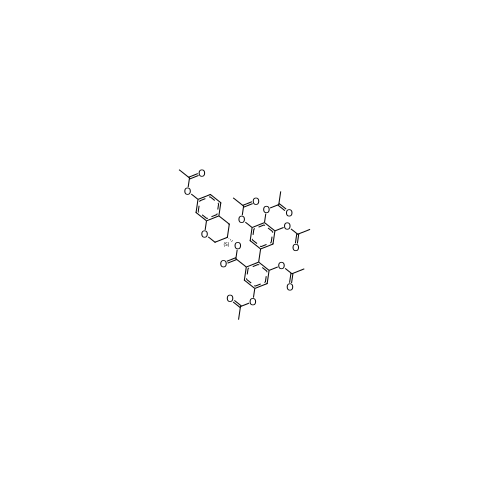 CC(=O)Oc1ccc2c(c1)OC[C@@H](OC(=O)c1cc(OC(C)=O)cc(OC(C)=O)c1-c1cc(OC(C)=O)c(OC(C)=O)c(OC(C)=O)c1)C2